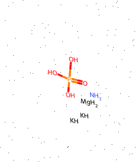 N.O=P(O)(O)O.[KH].[KH].[MgH2]